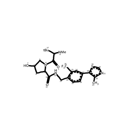 CNC(C(=O)N1CC(O)CC1C(=O)NCc1ccc(-c2scnc2C)cc1C(F)(F)F)C(C)(C)C